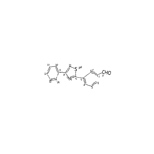 O=Cc1cccc(-c2nc(-c3ccccc3)cs2)c1